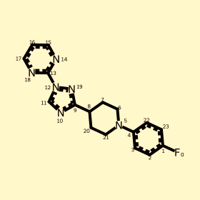 Fc1ccc(N2CCC(c3ncn(-c4ncccn4)n3)CC2)cc1